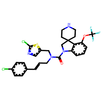 O=C(N(CC=Cc1ccc(Cl)cc1)Cc1cnc(Cl)s1)N1CC2(CCNCC2)c2c(OC(F)(F)F)cccc21